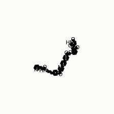 O=C(/C=C/c1cccnc1)NCCCCC1CCN(C(=O)c2ccc(N3CCC(N4CCN(C(=O)COc5cccc6c5CN(C5CCC(=O)NC5=O)C6=O)CC4)CC3)nc2)CC1